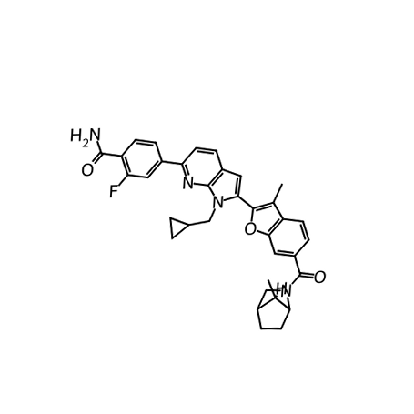 Cc1c(-c2cc3ccc(-c4ccc(C(N)=O)c(F)c4)nc3n2CC2CC2)oc2cc(C(=O)N3CC4CCC3[C@@H]4C)ccc12